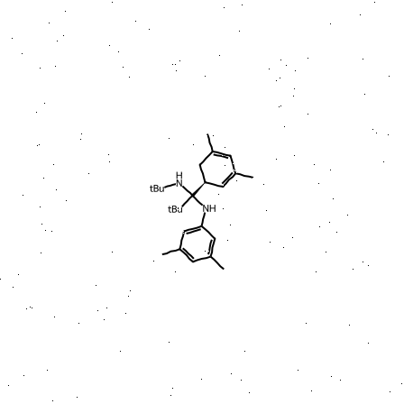 CC1=C[C@@H](C(Nc2cc(C)cc(C)c2)(NC(C)(C)C)C(C)(C)C)CC(C)=C1